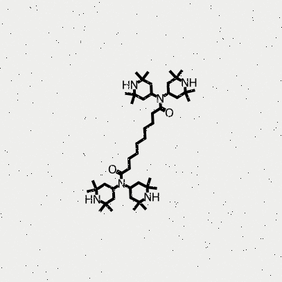 CC1(C)CC(N(C(=O)CCCCCCCCC(=O)N(C2CC(C)(C)NC(C)(C)C2)C2CC(C)(C)NC(C)(C)C2)C2CC(C)(C)NC(C)(C)C2)CC(C)(C)N1